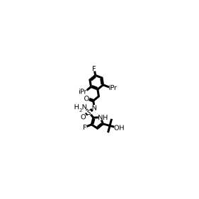 CC(C)c1cc(F)cc(C(C)C)c1CC(=O)N=S(N)(=O)c1[nH]c(C(C)(C)O)cc1F